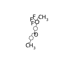 CCCC1CCC(CC(=O)C2CCC(c3ccc(CC)c(C(F)F)c3F)CC2)CC1